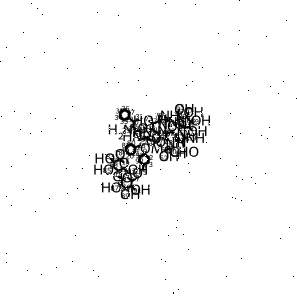 COc1ccc(COCC2OC(OC3C(CO)OC(Oc4ccc(C[C@H](NC(=O)[C@@H](N)C(C)c5ccccc5)C(=O)N[C@H](C(=O)N[C@H](C(=O)N[C@H]([C]=O)CO)C(O)C5CNC(=N)N5C5OC(CO)C(O)C(O)C5O)C(O)C5CNC(=N)N5)cc4)C(O)C3O)C(O)C(O)C2O)cc1